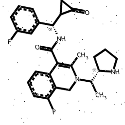 CC1=C(C(=O)N[C@H](c2cccc(F)c2)C2CC2=O)c2cccc(F)c2CN1C(C)[C@@H]1CCCN1